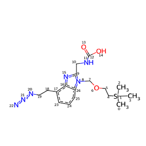 C[Si](C)(C)CCOCn1c(CNC(=O)O)nc2c(CCN=[N+]=[N-])cccc21